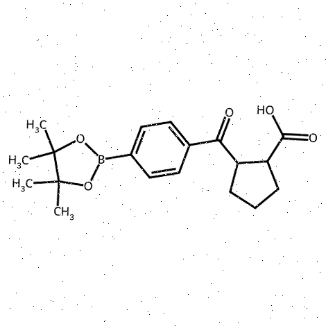 CC1(C)OB(c2ccc(C(=O)C3CCCC3C(=O)O)cc2)OC1(C)C